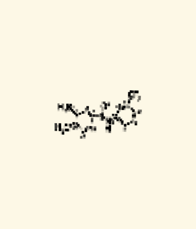 Bc1cc(C(=O)Nc2cccc(C(F)(F)F)c2)ccc1C